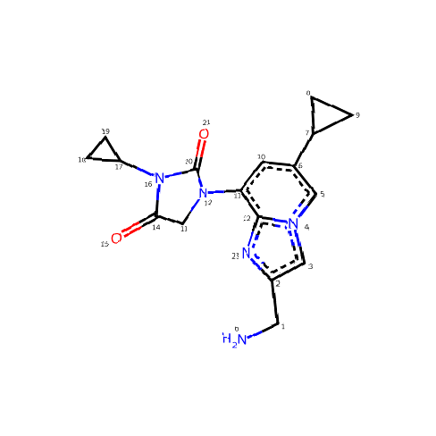 NCc1cn2cc(C3CC3)cc(N3CC(=O)N(C4CC4)C3=O)c2n1